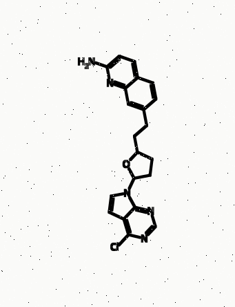 Nc1ccc2ccc(CCC3CCC(n4ccc5c(Cl)ncnc54)O3)cc2n1